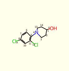 OC1CCN(c2ccc(Cl)cc2Cl)CC1